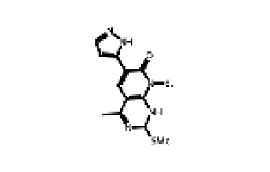 CCn1c2c(cc(-c3ccn[nH]3)c1=O)C(C)=NC(SC)N2